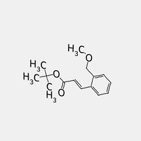 COCc1ccccc1/C=C/C(=O)OC(C)(C)C